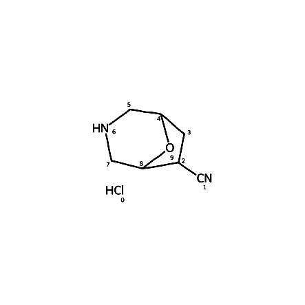 Cl.N#CC1CC2CNCC1O2